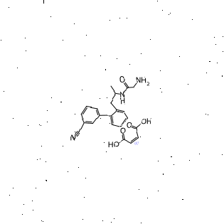 CC(Cc1ccccc1-c1cccc(C#N)c1)NC(=O)CN.O=C(O)/C=C\C(=O)O